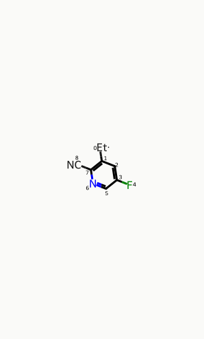 C[CH]c1cc(F)cnc1C#N